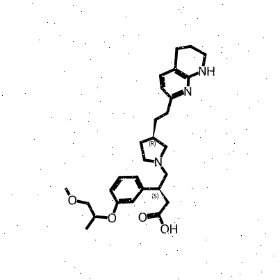 COCC(C)Oc1cccc([C@H](CC(=O)O)CN2CC[C@@H](CCc3ccc4c(n3)NCCC4)C2)c1